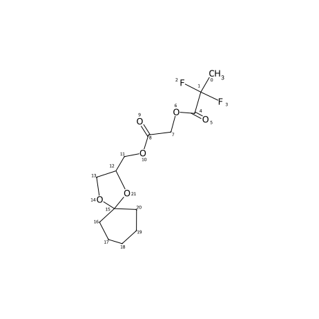 CC(F)(F)C(=O)OCC(=O)OCC1COC2(CCCCC2)O1